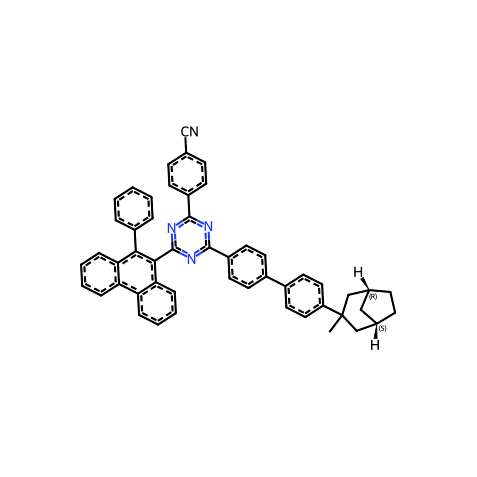 CC1(c2ccc(-c3ccc(-c4nc(-c5ccc(C#N)cc5)nc(-c5c(-c6ccccc6)c6ccccc6c6ccccc56)n4)cc3)cc2)C[C@@H]2CC[C@@H](C2)C1